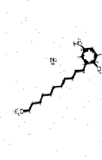 CCCCCCCCCCCCc1cc(O)ccc1O.[Na]